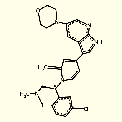 C=C1C=C(c2c[nH]c3ncc(N4CCOCC4)cc23)C=CN1[C@H](CN(C)I)c1cccc(Cl)c1